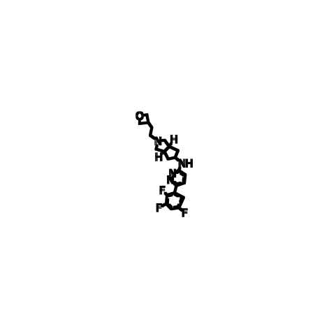 Fc1cc(F)c(F)c(-c2ccc(NC3C[C@@H]4CN(CCC5COC5)C[C@@H]4C3)nn2)c1